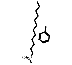 CCCCCCCCCCCC[S+](C)[O-].Cc1ccccc1